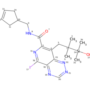 CC(C)(Cc1c(C(=O)NCC2CC=CC2)nc(I)c2ncnnc12)[Si](C)(C)O